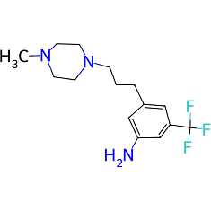 CN1CCN(CCCc2cc(N)cc(C(F)(F)F)c2)CC1